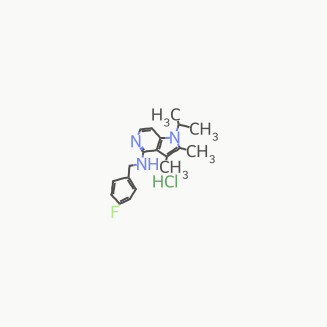 Cc1c(C)n(C(C)C)c2ccnc(NCc3ccc(F)cc3)c12.Cl